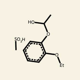 CCOc1ccccc1OC(C)O.CS(=O)(=O)O